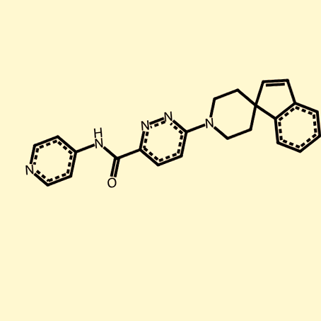 O=C(Nc1ccncc1)c1ccc(N2CCC3(C=Cc4ccccc43)CC2)nn1